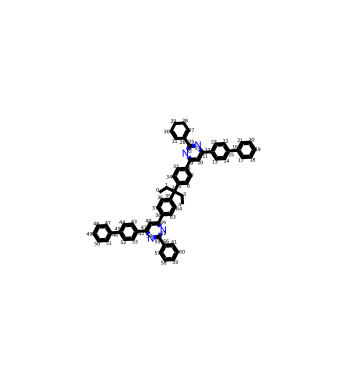 CCC(CC)(c1ccc(-c2cc(-c3ccc(-c4ccccc4)cc3)nc(C3=CCCC=C3)n2)cc1)c1ccc(-c2cc(-c3ccc(-c4ccccc4)cc3)nc(-c3ccccc3)n2)cc1